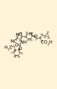 CC(OC(=O)Nc1c(C#N)noc1-c1ccc(OCC(CC2CC2)C(=O)O)nc1)c1ccccc1